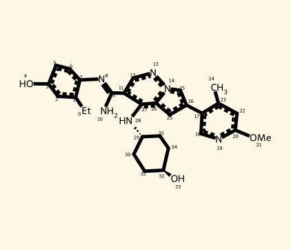 CCc1cc(O)ccc1/N=C(\N)c1cnn2cc(-c3cnc(OC)cc3C)cc2c1N[C@H]1CC[C@H](O)CC1